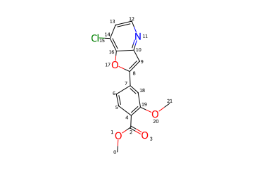 COC(=O)c1ccc(-c2cc3nccc(Cl)c3o2)cc1OC